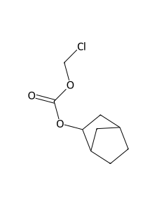 O=C(OCCl)OC1CC2CCC1C2